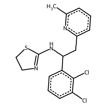 Cc1cccc(CC(NC2=NCCS2)c2cccc(Cl)c2Cl)n1